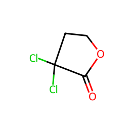 O=C1OCCC1(Cl)Cl